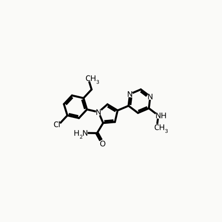 CCc1ccc(Cl)cc1-n1cc(-c2cc(NC)ncn2)cc1C(N)=O